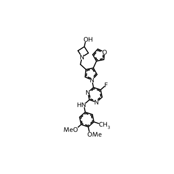 COc1cc(Nc2ncc(F)c(-n3cc(CN4CC(O)C4)c(-c4ccoc4)c3)n2)cc(C)c1OC